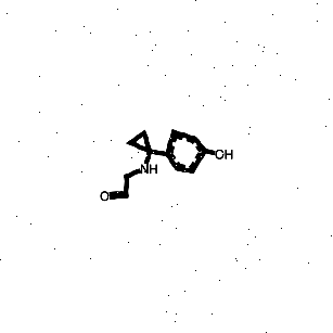 O=CCNC1(c2ccc(O)cc2)CC1